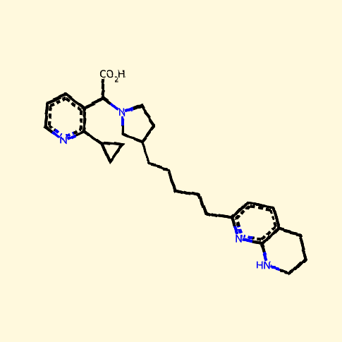 O=C(O)C(c1cccnc1C1CC1)N1CCC(CCCCCc2ccc3c(n2)NCCC3)C1